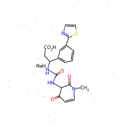 CN1C=CC(=O)C(NC(=O)NC(CC(=O)O)c2cccc(-c3nccs3)c2)C1=O.[NaH]